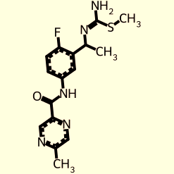 CS/C(N)=N\C(C)c1cc(NC(=O)c2cnc(C)cn2)ccc1F